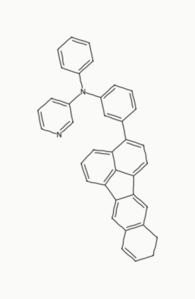 C1=Cc2cc3c(cc2CC1)-c1ccc(-c2cccc(N(c4ccccc4)c4cccnc4)c2)c2cccc-3c12